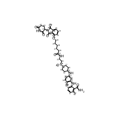 NC(=O)c1c(F)cccc1Nc1nc(NC2CCN([S+]([O-])CCNC(=O)CCCCCOc3cccc4c3C(=O)N(C3CCC(=O)NC3=O)C4=O)CC2)ncc1Br